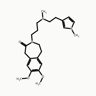 COc1cc2c(cc1OC)CC(=O)N(CCCN(C)CCc1ccn(C)c1)CC2